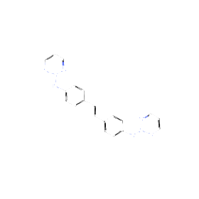 C1=CNN(Nc2ccc(C=Cc3ccc(NN4N=CC=CN4)cc3)cc2)N=C1